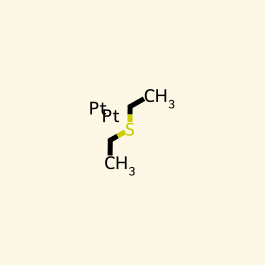 CCSCC.[Pt].[Pt]